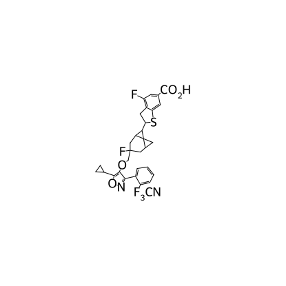 O=C(O)c1cc(F)c2c(c1)SC(C1C3CC(F)(COc4c(-c5ccccc5NC(F)(F)F)noc4C4CC4)CC4CC431)C2